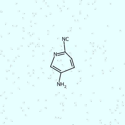 [C-]#[N+]c1ccc(N)cn1